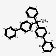 NC(c1ccccc1)(c1ccc(-c2ccccc2)cc1)c1ccc(-c2ccccc2)cc1